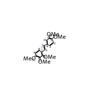 COc1ccc(/C=C/c2ccc(OC)c(OC)c2OC)cc1OC